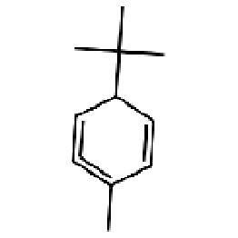 CC1=C=CC(C(C)(C)C)C=C1